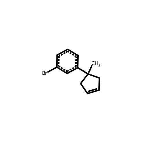 CC1(c2cccc(Br)c2)CC=CC1